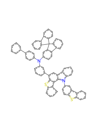 c1ccc(-c2ccc(N(c3cccc(-c4cc5c6ccccc6n(-c6ccc7sc8ccccc8c7c6)c5c5c4sc4ccccc45)c3)c3ccc4c(c3)C3(c5ccccc5-c5ccccc53)c3ccccc3-4)cc2)cc1